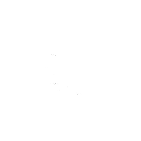 COCC(CC(=O)OC)C(=O)OC